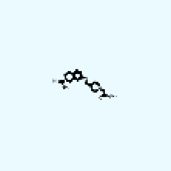 CNC(=O)CN1CCC(COc2ccc3c(c2)CN(C(=N)N)CC3)CC1